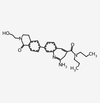 CCCN(CCC)C(=O)C1=Cc2ccc(-c3ccc4c(c3)CCN(CCO)C4=O)cc2N=C(N)C1